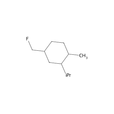 CC(C)C1CC(CF)CCC1C